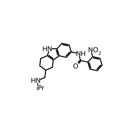 CC(C)NCC1CCc2[nH]c3ccc(NC(=O)c4ccccc4[N+](=O)[O-])cc3c2C1